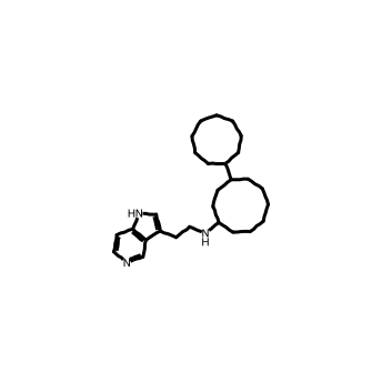 c1cc2[nH]cc(CCNC3CCCCCCC(C4CCCCCCCC4)CC3)c2cn1